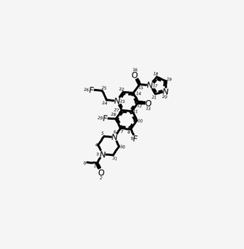 CC(=O)N1CCN(c2c(F)cc3c(=O)c(C(=O)n4ccnc4)cn(CCF)c3c2F)CC1